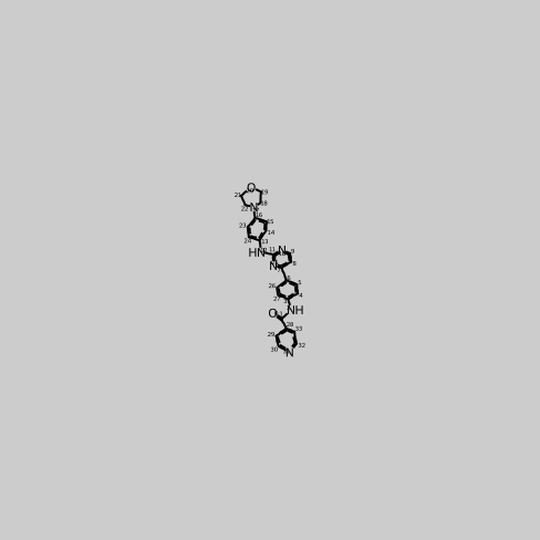 O=C(Nc1ccc(-c2ccnc(Nc3ccc(N4CCOCC4)cc3)n2)cc1)c1ccncc1